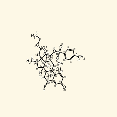 CCOC(=O)O[C@]1(C(=O)COS(=O)(=O)c2ccc(C)cc2)[C@H](C)C[C@H]2[C@@H]3C[C@H](F)C4=CC(=O)C=C[C@]4(C)[C@@]3(F)[C@@H](O)C[C@@]21C